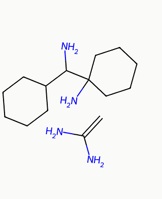 C=C(N)N.NC(C1CCCCC1)C1(N)CCCCC1